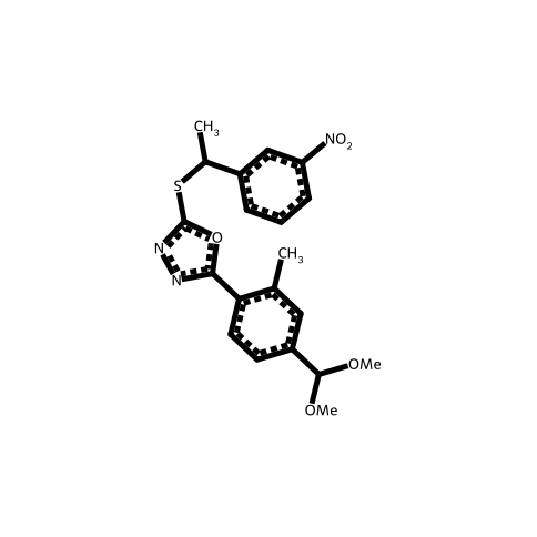 COC(OC)c1ccc(-c2nnc(SC(C)c3cccc([N+](=O)[O-])c3)o2)c(C)c1